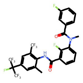 Cc1cc(C(F)(C(F)(F)F)C(F)(F)F)cc(C(F)(F)F)c1NC(=O)c1cccc(N(C)C(=O)c2cccc(F)c2)c1F